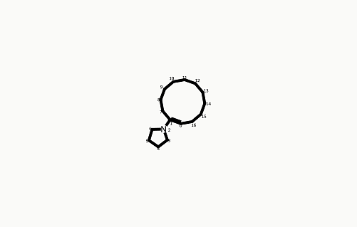 C1=C(N2CCCC2)CCCCCCCCCC1